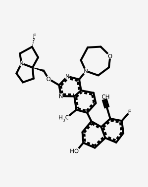 C#Cc1c(F)ccc2cc(O)cc(-c3ccc4c(N5CCCOCC5)nc(OC[C@@]56CCCN5C[C@H](F)C6)nc4c3C)c12